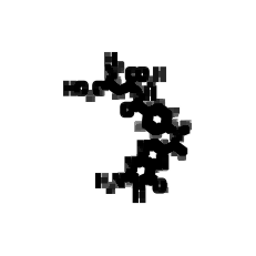 CC(c1cnc2nc(N)[nH]c(=O)c2n1)N(C)c1ccc(C(=O)NC(CC(N)C(=O)O)C(=O)O)cc1